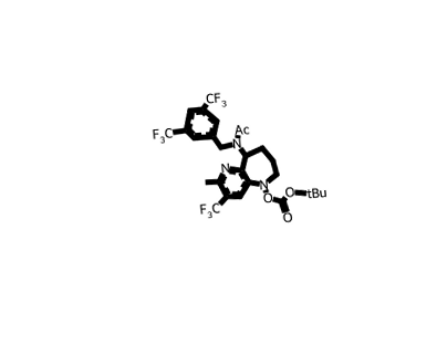 CC(=O)N(Cc1cc(C(F)(F)F)cc(C(F)(F)F)c1)C1CCCN(OC(=O)OC(C)(C)C)c2cc(C(F)(F)F)c(C)nc21